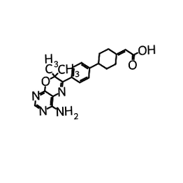 CC1(C)Oc2ncnc(N)c2N=C1c1ccc(C2CCC(=CC(=O)O)CC2)cc1